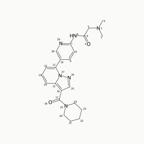 CN(C)CC(=O)Nc1ccc(-c2cccc3c(C(=O)N4CCCCC4)cnn23)cn1